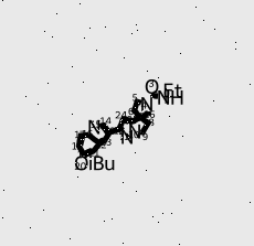 CCNC(=O)N1CCC2(CCn3nc(-c4cnc5ccc(OCC(C)C)cc5c4)cc32)C1